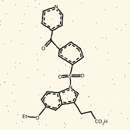 CCOc1ccc2c(c1)c(CCC(=O)O)cn2S(=O)(=O)c1cccc(C(=O)c2ccncc2)c1